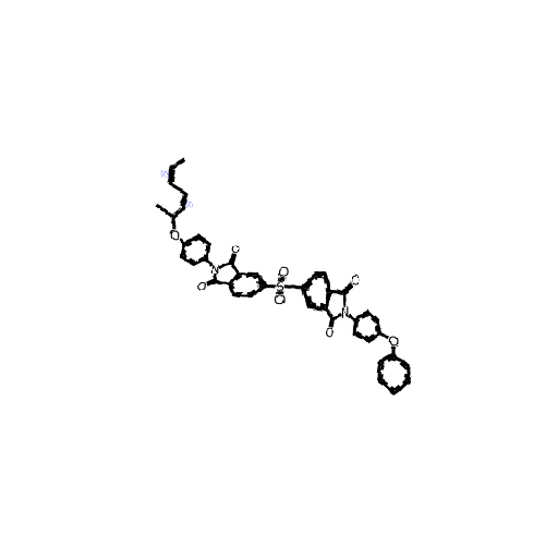 C/C=C\C=C/C(C)Oc1ccc(N2C(=O)c3ccc(S(=O)(=O)c4ccc5c(c4)C(=O)N(c4ccc(Oc6ccccc6)cc4)C5=O)cc3C2=O)cc1